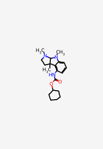 CN1CCC2(C)c3c(NC(=O)OC4CCCCC4)cccc3N(C)C12